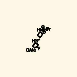 COc1ccc(NC[C@H]2CC[C@H](NS(=O)(=O)C(C)C)CC2)cc1F